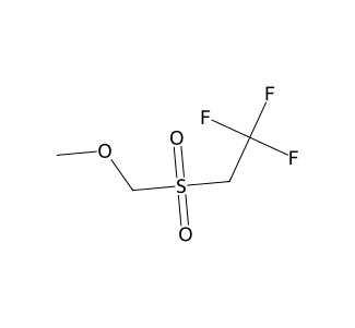 COCS(=O)(=O)CC(F)(F)F